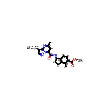 CCOC(=O)c1cnn2c(C(=O)NC3CCc4c3ccc(C(=O)OC(C)(C)C)c4C)cc(C)nc12